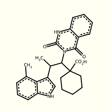 Cc1cccc2[nH]cc(C(C)C(n3c(=O)[nH]c4ccccc4c3=O)C3(C(=O)O)CCCCC3)c12